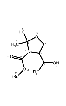 CCCC(O)C1COC(C)(C)N1C(=O)OC(C)(C)C